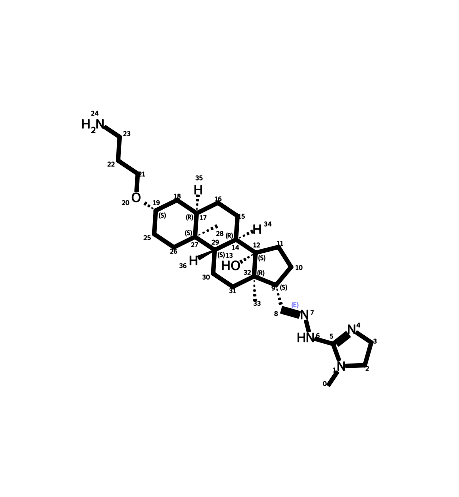 CN1CCN=C1N/N=C/[C@H]1CC[C@]2(O)[C@@H]3CC[C@@H]4C[C@@H](OCCCN)CC[C@]4(C)[C@H]3CC[C@]12C